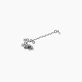 CCCCCCCCCCCCCCCC(=O)OC[C@H](O)[C@H]1OC(=O)C(O)=C1OP(=O)(O)O